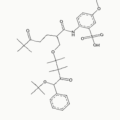 COc1ccc(NC(=O)C(CCC(=O)C(C)(C)C)COC(C)(C)C(C)(C)C(=O)C(OC(C)(C)C)c2ccccc2)c(S(=O)(=O)O)c1